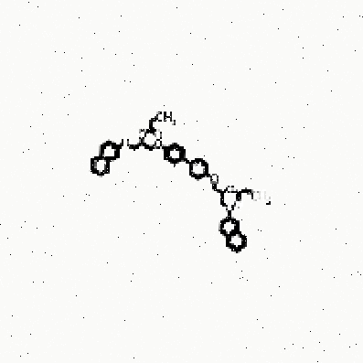 C=CC(=O)OC(COc1ccc(-c2ccc(OCC(COc3ccc4ccccc4c3)OC(=O)C=C)cc2)cc1)COc1ccc2ccccc2c1